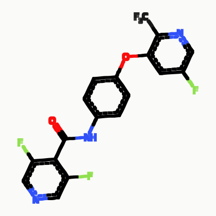 O=C(Nc1ccc(Oc2cc(F)cnc2C(F)(F)F)cc1)c1c(F)cncc1F